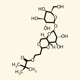 CC(C)(C)C(=O)OCCC1OC[C@H]2O[C@H](O[C@H]3O[C@H](CO)[C@@H](O)[C@H](O)[C@H]3O)[C@H](O)[C@@H](O)[C@@H]2O1